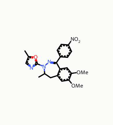 COc1cc2c(cc1OC)C(c1ccc([N+](=O)[O-])cc1)=NN(c1ncc(C)o1)C(C)C2